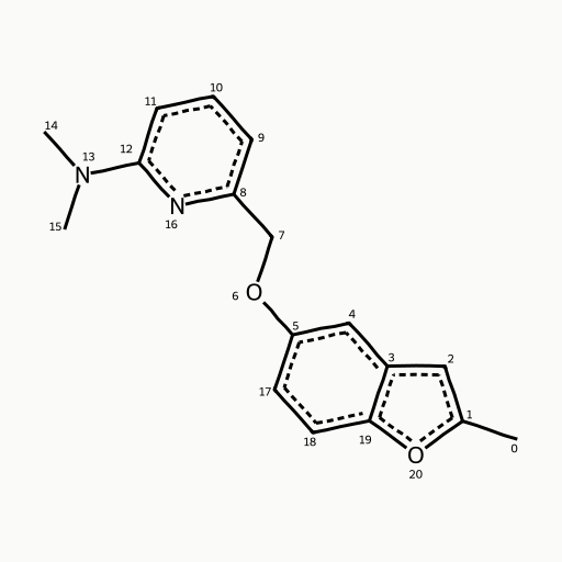 Cc1cc2cc(OCc3cccc(N(C)C)n3)ccc2o1